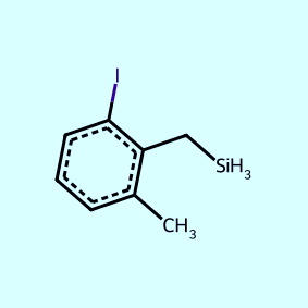 Cc1cccc(I)c1C[SiH3]